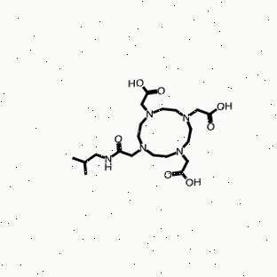 CC(C)CNC(=O)CN1CCN(CC(=O)O)CCN(CC(=O)O)CCN(CC(=O)O)CC1